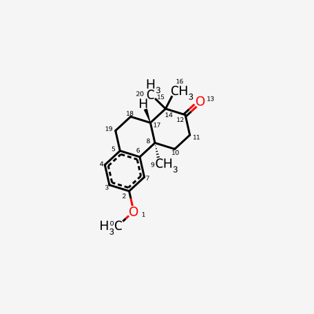 COc1ccc2c(c1)[C@]1(C)CCC(=O)C(C)(C)[C@H]1CC2